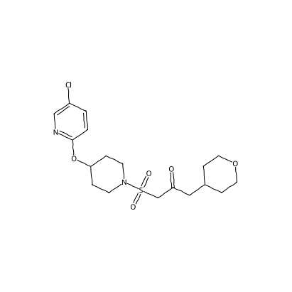 O=C(CC1CCOCC1)CS(=O)(=O)N1CCC(Oc2ccc(Cl)cn2)CC1